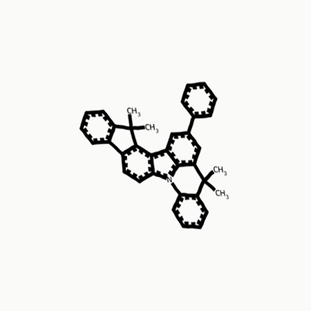 CC1(C)c2ccccc2-c2ccc3c(c21)c1cc(-c2ccccc2)cc2c1n3-c1ccccc1C2(C)C